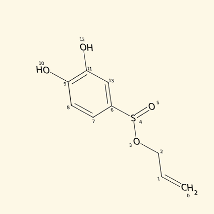 C=CCOS(=O)c1ccc(O)c(O)c1